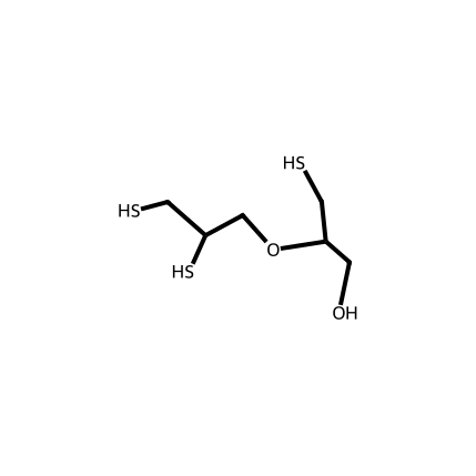 OCC(CS)OCC(S)CS